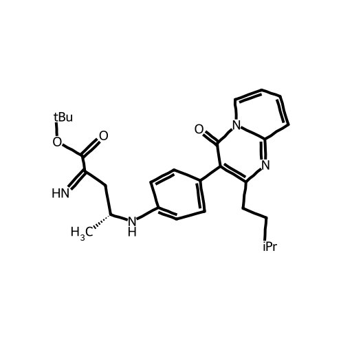 CC(C)CCc1nc2ccccn2c(=O)c1-c1ccc(N[C@H](C)CC(=N)C(=O)OC(C)(C)C)cc1